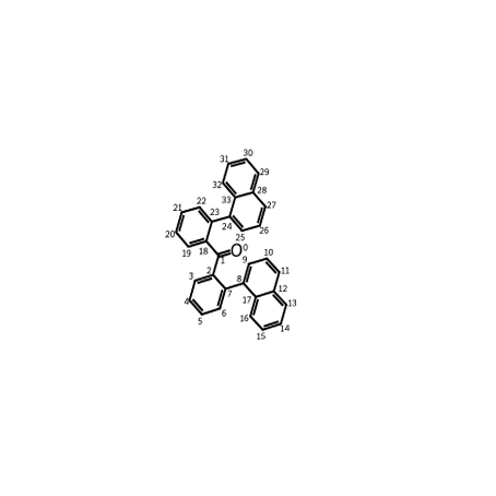 O=C(c1ccccc1-c1cccc2ccccc12)c1ccccc1-c1cccc2ccccc12